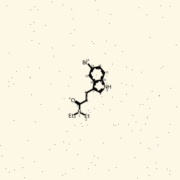 CCN(CC)C(=O)CCc1c[nH]c2ccc(Br)cc12